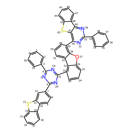 c1ccc(-c2nc(-c3ccc4c(c3)sc3ccccc34)nc(-c3cccc4oc5c(-c6nc(-c7ccccc7)nc7c6sc6ccccc67)cccc5c34)n2)cc1